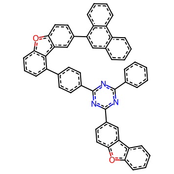 c1ccc(-c2nc(-c3ccc(-c4cccc5oc6ccc(-c7cc8ccccc8c8ccccc78)cc6c45)cc3)nc(-c3ccc4oc5ccccc5c4c3)n2)cc1